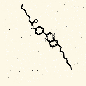 CCCCCCCCc1ccc2nc(-c3ccc(OC(=O)CCCCCC)cc3)cnc2c1